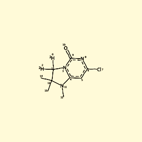 [2H]C1([2H])n2c(cc(Cl)nc2=O)N(C)C1(C)C